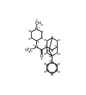 CN1CCC(N(C)C(=O)C23CC4CC(C2)CC(c2ccccc2)(C4)C3)CC1